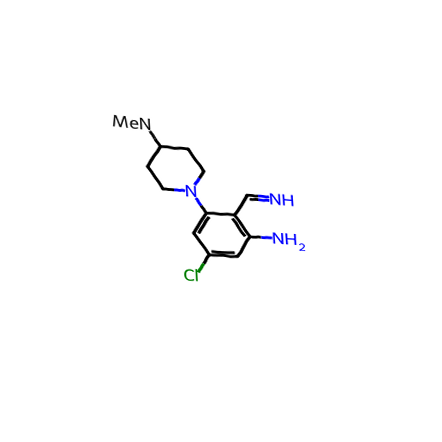 CNC1CCN(c2cc(Cl)cc(N)c2C=N)CC1